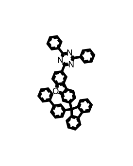 c1ccc(-c2cccc(C3(c4ccc5c(c4)oc4ccc(-c6nc(-c7ccccc7)nc(-c7ccccc7)n6)cc45)c4ccccc4-c4ccccc43)c2)cc1